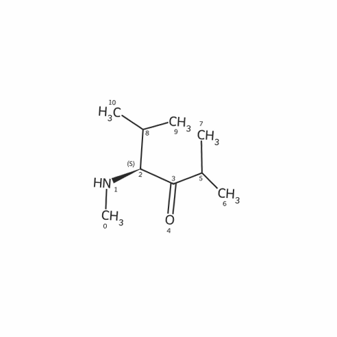 CN[C@H](C(=O)C(C)C)C(C)C